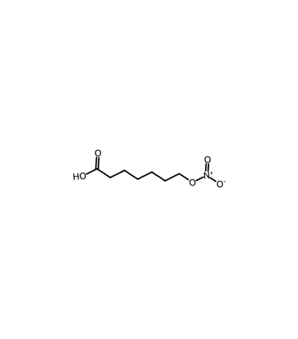 O=C(O)CCCCCCO[N+](=O)[O-]